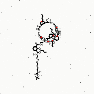 CCCCOc1c(C(=O)NCCOCCOCCNC(=O)OC(C)(C)C)cccc1C(=O)NCCN1CCNC(=O)c2cccc(c2OCCCC)C(=O)NCCN2CCNC(=O)c3cccc(c3OCCCC)C(=O)NCCN(CCNC(=O)c3cccc(c3OCCCC)C(=O)NCC2)CC1